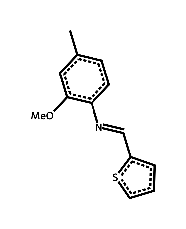 COc1cc(C)ccc1/N=C/c1cccs1